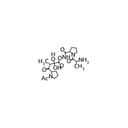 CC(=O)N1CCCC1C(=O)C(C)C(O)(O)C(=O)ONC(=O)C1CCCN1C(=O)C(C)N